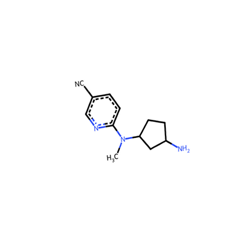 CN(c1ccc(C#N)cn1)C1CCC(N)C1